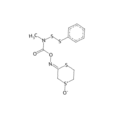 CN(SSc1ccccc1)C(=O)ON=C1C[S+]([O-])CCS1